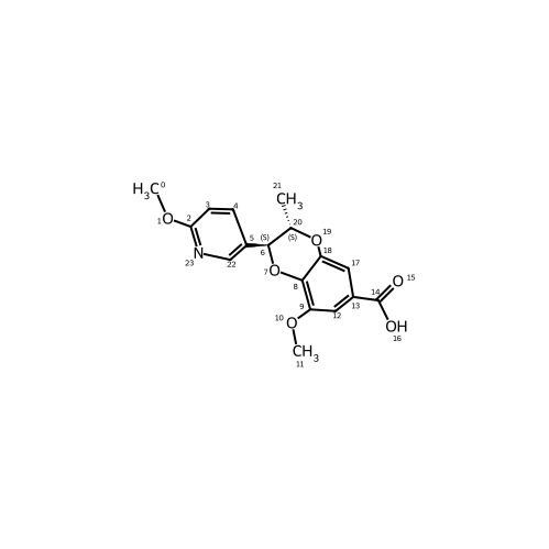 COc1ccc([C@@H]2Oc3c(OC)cc(C(=O)O)cc3O[C@H]2C)cn1